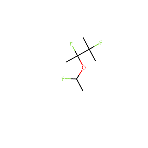 CC(F)OC(C)(F)C(C)(C)F